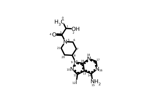 CC(O)C(=O)N1CCC(n2nc(I)c3c(N)ncnc32)CC1